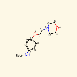 CC(C)(C)Nc1ccc(OCCN2CCOCC2)cc1